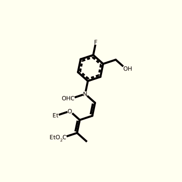 CCOC(=O)/C(C)=C(/C=C\N(C=O)c1ccc(F)c(CO)c1)OCC